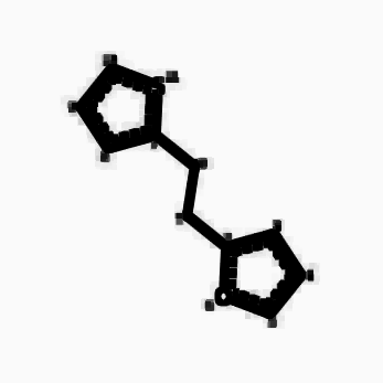 [CH](Cc1ccco1)c1cccs1